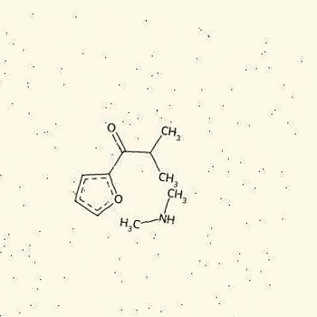 CC(C)C(=O)c1ccco1.CNC